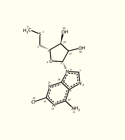 CSC[C@H]1O[C@@H](n2cnc3c(N)nc(Cl)nc32)C(O)[C@@H]1O